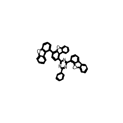 C1=CC2Oc3ccccc3C2C(c2ccc(-c3nc(-c4ccccc4)nc(-c4cccc5c4oc4ccccc45)n3)c3c2oc2ccccc23)=C1